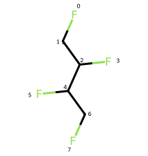 F[CH]C(F)C(F)CF